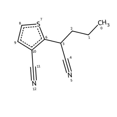 CCCC(C#N)c1sccc1C#N